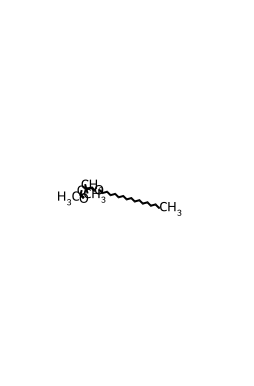 CCCCCCCCCCCCCCCCOC=CC(C)(C)OC(C)=O